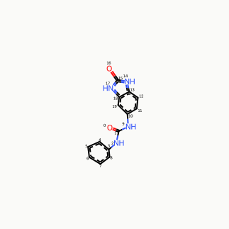 O=C(Nc1ccccc1)Nc1ccc2[nH]c(=O)[nH]c2c1